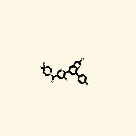 CCc1cc2cc(-c3ncc(C(=O)N4CCC(F)(F)CC4)cc3F)cc(-c3ccc(F)cc3)c2o1